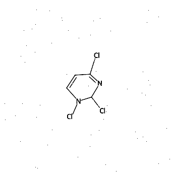 ClC1=NC(Cl)N(Cl)C=C1